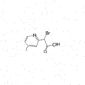 Cc1ccnc(C(Br)C(=O)O)c1